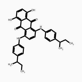 CCC(C)c1ccc(Nc2ccc(Nc3ccc(C(C)CC)cc3)c3c2C(=O)c2c(O)ccc(O)c2C3=O)cc1